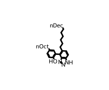 CCCCCCCCCCCCCCCCc1ccc2[nH]nnc2c1-c1cc(CCCCCCCC)ccc1O